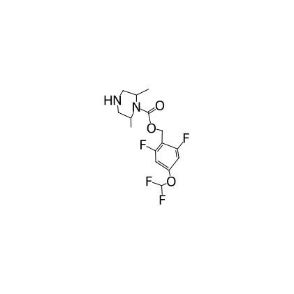 CC1CNCC(C)N1C(=O)OCc1c(F)cc(OC(F)F)cc1F